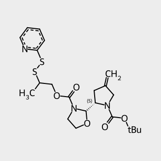 C=C1C[C@@H](C2OCCN2C(=O)OCC(C)SSc2ccccn2)N(C(=O)OC(C)(C)C)C1